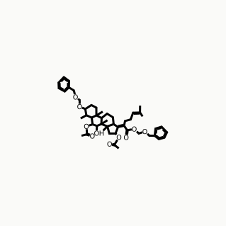 CC(=O)OC1CC2(C)C(CCC3C4(C)CCC(OCOCc5ccccc5)C(C)C4C(OC(C)=O)C(O)C32C)/C1=C(\CCC=C(C)C)C(=O)OCOCc1ccccc1